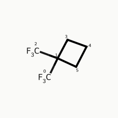 FC(F)(F)C1(C(F)(F)F)[CH]CC1